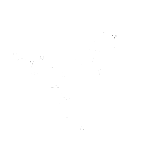 Cn1cc2cc(-c3ccc(C#N)cc3)cc(COCC3(c4ccccc4)CCNCC3)c2n1